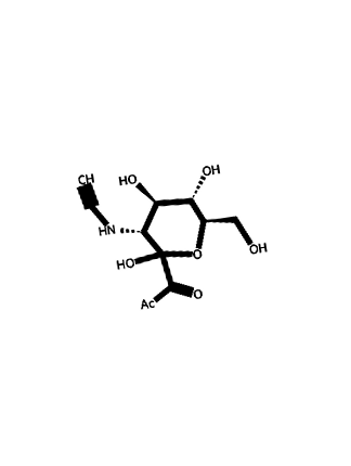 C#CN[C@@H]1[C@@H](O)[C@H](O)[C@@H](CO)OC1(O)C(=O)C(C)=O